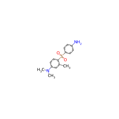 Cc1cc(N(C)C)ccc1S(=O)(=O)c1ccc(N)cc1